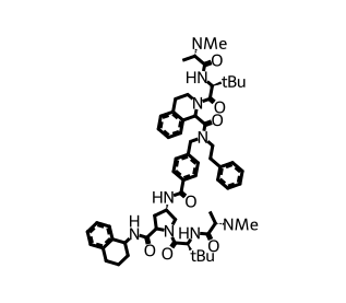 CN[C@@H](C)C(=O)N[C@H](C(=O)N1C[C@@H](NC(=O)c2ccc(CN(CCc3ccccc3)C(=O)C3c4ccccc4CCN3C(=O)[C@@H](NC(=O)[C@H](C)NC)C(C)(C)C)cc2)CC1C(=O)NC1CCCc2ccccc21)C(C)(C)C